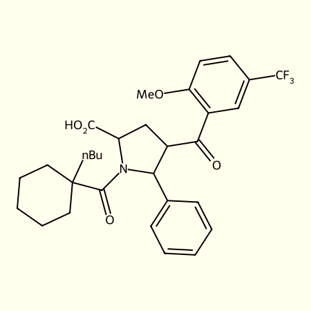 CCCCC1(C(=O)N2C(C(=O)O)CC(C(=O)c3cc(C(F)(F)F)ccc3OC)C2c2ccccc2)CCCCC1